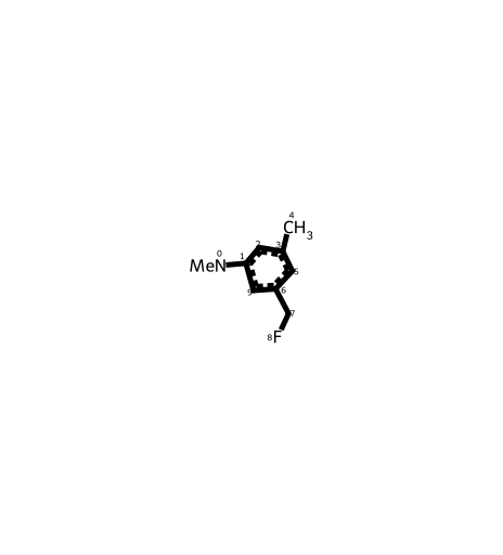 CNc1cc(C)cc(CF)c1